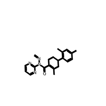 C=NN(C(=O)C1=C(C)CC(c2ccc(C)cc2C)CC1)c1ncccn1